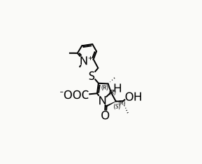 Cc1cccc(CSC2=C(C(=O)[O-])N3C(=O)[C@H]([C@@H](C)O)[C@@H]3[C@H]2C)[n+]1C